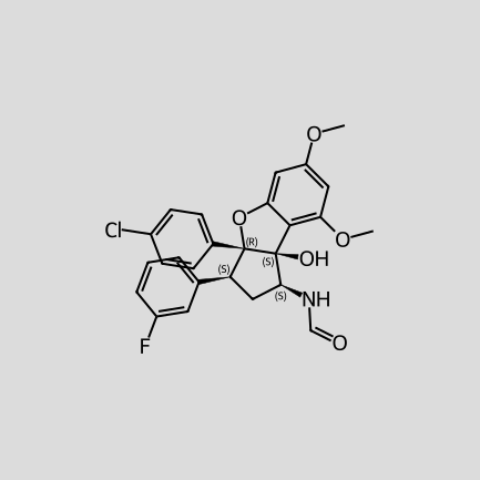 COc1cc(OC)c2c(c1)O[C@@]1(c3ccc(Cl)cc3)[C@H](c3cccc(F)c3)C[C@H](NC=O)[C@@]21O